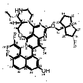 CC[C@@H]1NCCN2c3nc(OC[C@@]45CCCN4C[C@H](F)C5)nc4c(F)c(-c5cc(O)cc6ccc(F)c(C=C(F)F)c56)nc(c34)OC[C@H]12